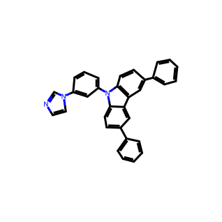 c1ccc(-c2ccc3c(c2)c2cc(-c4ccccc4)ccc2n3-c2cccc(-n3ccnc3)c2)cc1